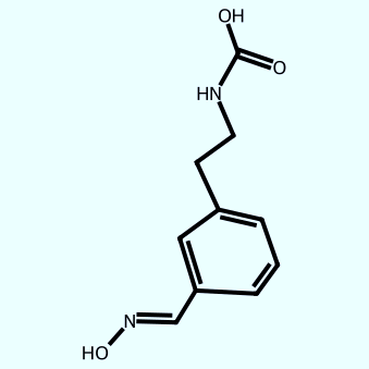 O=C(O)NCCc1cccc(C=NO)c1